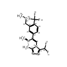 C=N/C(=C\n1c(C)nnc1C(F)F)c1ccc(C(F)(F)F)c(COC)c1